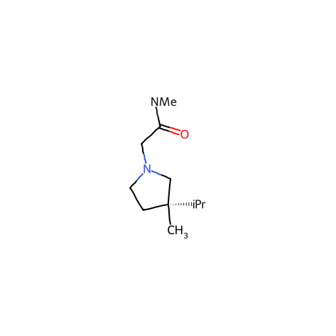 CNC(=O)CN1CC[C@@](C)(C(C)C)C1